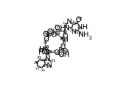 Nc1nc2c(ncn2[C@@H]2O[C@@H]3COP(=O)(O)OC4C(O)[C@@H](COP(=O)(O)OC3C2O)O[C@H]4n2cnc3ccccc32)c(=O)[nH]1